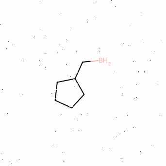 BCC1CCCC1